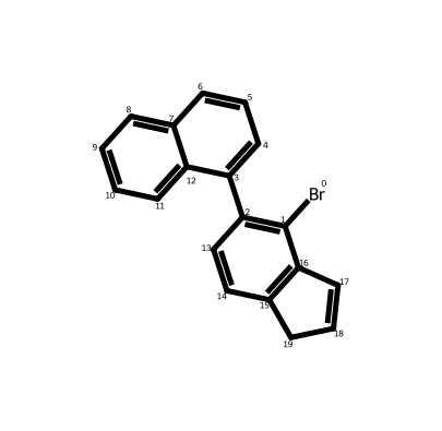 Brc1c(-c2cccc3ccccc23)ccc2c1C=CC2